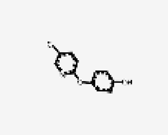 Oc1ccc(Oc2ccc(Cl)cn2)cc1